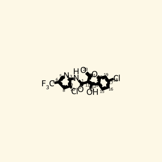 O=C(Nc1ncc(C(F)(F)F)cc1Cl)c1c(O)c2ccc(Cl)cc2oc1=O